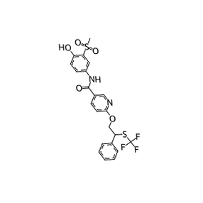 CS(=O)(=O)c1cc(NC(=O)c2ccc(OCC(SC(F)(F)F)c3ccccc3)nc2)ccc1O